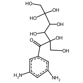 Nc1cc(N)cc(C(=O)C(O)(CO)C(O)C(O)C(O)(O)CO)c1